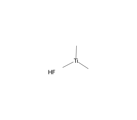 F.[CH3][Ti]([CH3])[CH3]